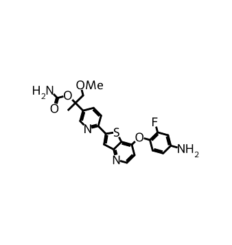 COCC(C)(OC(N)=O)c1ccc(-c2cc3nccc(Oc4ccc(N)cc4F)c3s2)nc1